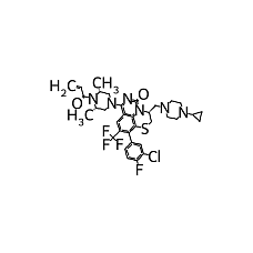 C=CC(=O)N1[C@H](C)CN(c2nc(=O)n3c4c(c(-c5ccc(F)c(Cl)c5)c(C(F)(F)F)cc24)SC[C@@H]3CN2CCN(C3CC3)CC2)C[C@@H]1C